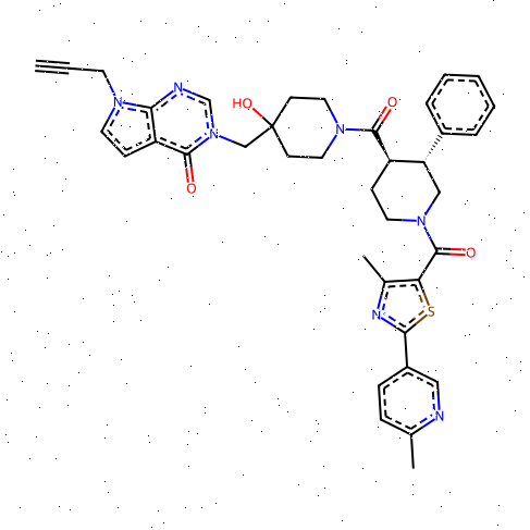 C#CCn1ccc2c(=O)n(CC3(O)CCN(C(=O)[C@@H]4CCN(C(=O)c5sc(-c6ccc(C)nc6)nc5C)C[C@H]4c4ccccc4)CC3)cnc21